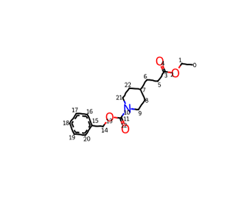 CCOC(=O)CCC1CCN(C(=O)OCc2ccccc2)CC1